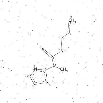 C=CCNC(=S)C(C)c1nccs1